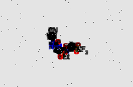 CCS(=O)(=O)c1ccc(-n2ncn(-c3ccc(C#N)cc3)c2=O)nc1-c1nc2cc(S(=O)(=O)C(F)(F)F)ccc2o1